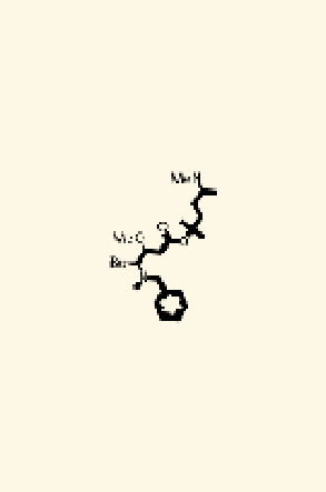 CC[C@H](C)[C@@H]([C@@H](CC(=O)OC(C)(C)CC[C@H](C)NC)OC)N(C)Cc1ccccc1